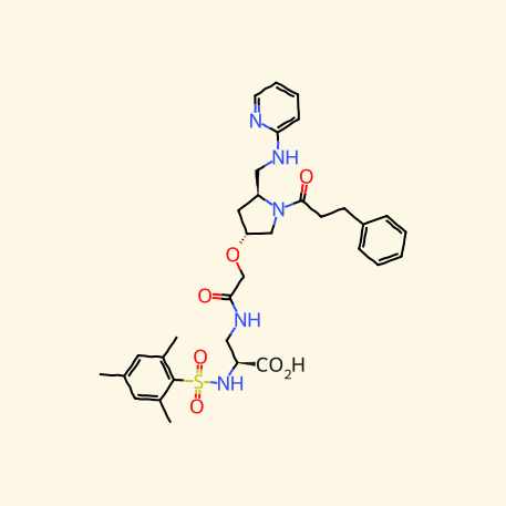 Cc1cc(C)c(S(=O)(=O)N[C@@H](CNC(=O)CO[C@@H]2C[C@@H](CNc3ccccn3)N(C(=O)CCc3ccccc3)C2)C(=O)O)c(C)c1